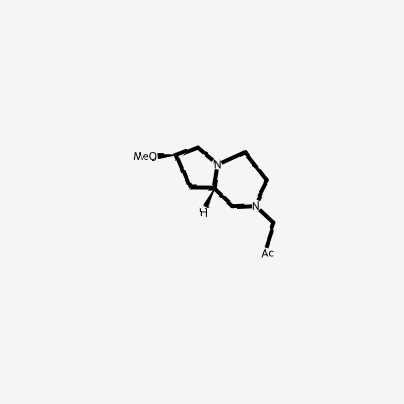 CO[C@@H]1C[C@H]2CN(CC(C)=O)CCN2C1